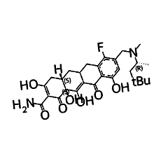 C[C@H](CC(C)(C)C)N(C)Cc1cc(O)c2c(c1F)CC1C[C@H]3CC(O)=C(C(N)=O)C(=O)[C@@]3(O)C(O)=C1C2=O